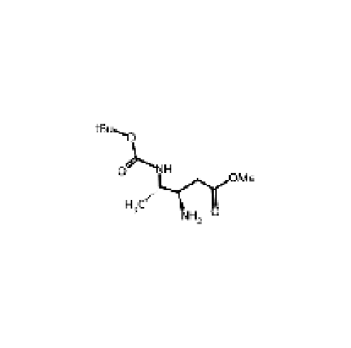 COC(=O)C[C@@H](N)[C@H](C)NC(=O)OC(C)(C)C